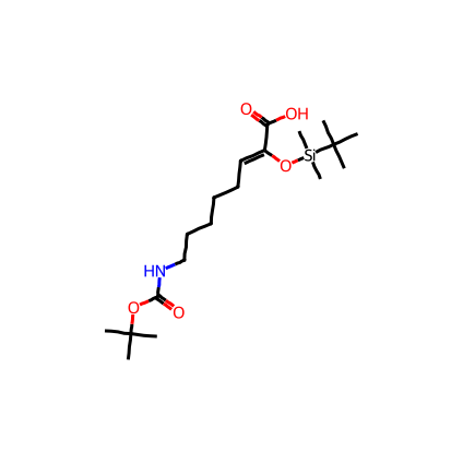 CC(C)(C)OC(=O)NCCCCC/C=C(\O[Si](C)(C)C(C)(C)C)C(=O)O